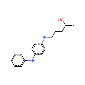 [CH2]C(O)CCCNc1ccc(Nc2ccccc2)cc1